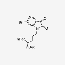 CCCCCCCCCCC(CCCCCCCCCC)CCCN1C(=O)C(=O)c2ccc(Br)cc21